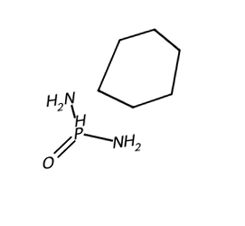 C1CCCCC1.N[PH](N)=O